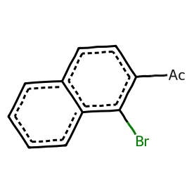 CC(=O)c1ccc2ccccc2c1Br